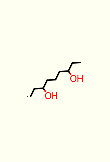 [CH2]CC(O)CCCC(O)CC